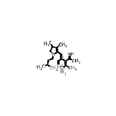 C=C/C(=C\C1=C(C)C(C)CN1CCC(C)C)C(C(C)=N)=C(C)C